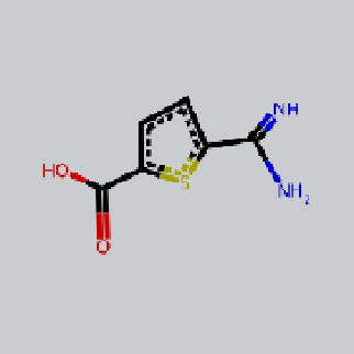 N=C(N)c1ccc(C(=O)O)s1